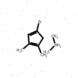 CC1=C(C)C[C]([Zr])=C1.C[SiH2]C